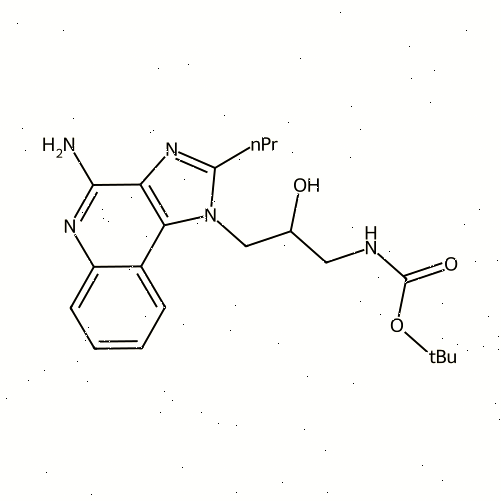 CCCc1nc2c(N)nc3ccccc3c2n1CC(O)CNC(=O)OC(C)(C)C